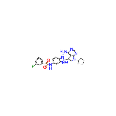 Nc1ncnc2c1c(-c1nc3ccc(NS(=O)(=O)c4cccc(F)c4)cc3[nH]1)cn2C1CCCC1